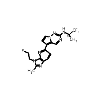 Cc1nc2ccc(-c3ccn4nc(N[C@H](C)C(F)(F)F)ncc34)nc2n1CCF